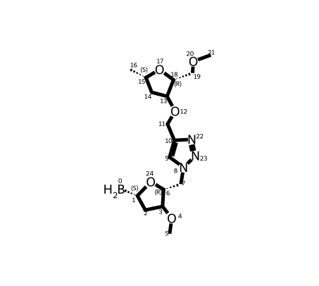 B[C@H]1CC(OC)[C@@H](Cn2cc(COC3C[C@H](C)O[C@@H]3COC)nn2)O1